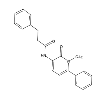 CC(=O)On1c(-c2ccccc2)ccc(NC(=O)CCc2ccccc2)c1=O